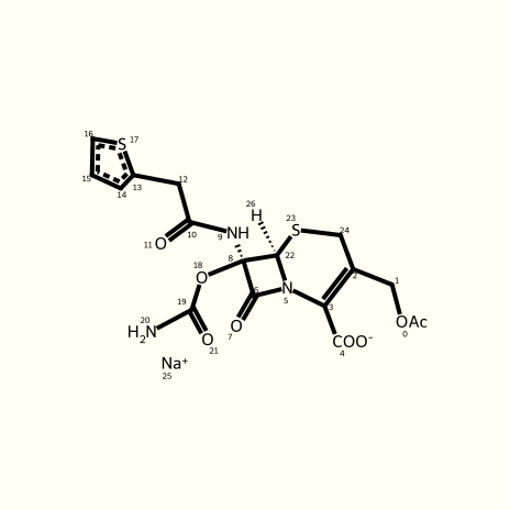 CC(=O)OCC1=C(C(=O)[O-])N2C(=O)[C@@](NC(=O)Cc3cccs3)(OC(N)=O)[C@H]2SC1.[Na+]